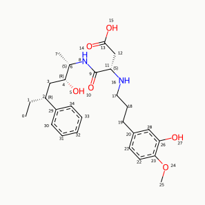 CC[C@H](C[C@@H](O)[C@H](C)NC(=O)[C@H](CC(=O)O)NCCCc1ccc(OC)c(O)c1)c1ccccc1